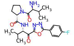 CC(C)[C@H](N)C(=O)N1CCC[C@H]1C(=O)N[C@H](C(=O)c1nnc(-c2ccc(F)cc2)o1)C(C)C